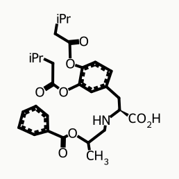 CC(C)CC(=O)Oc1ccc(C[C@H](NCC(C)OC(=O)c2ccccc2)C(=O)O)cc1OC(=O)CC(C)C